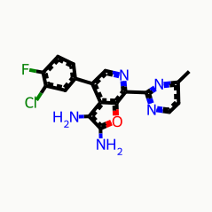 Cc1ccnc(-c2ncc(-c3ccc(F)c(Cl)c3)c3c(N)c(N)oc23)n1